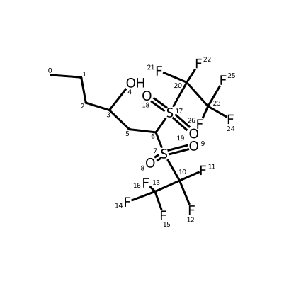 CCCC(O)CC(S(=O)(=O)C(F)(F)C(F)(F)F)S(=O)(=O)C(F)(F)C(F)(F)F